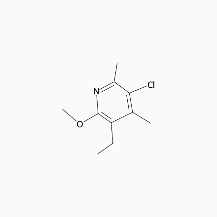 CCc1c(OC)nc(C)c(Cl)c1C